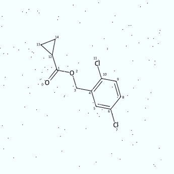 O=C(OCc1cc(Cl)ccc1Cl)C1CC1